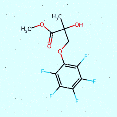 COC(=O)C(C)(O)COc1c(F)c(F)c(F)c(F)c1F